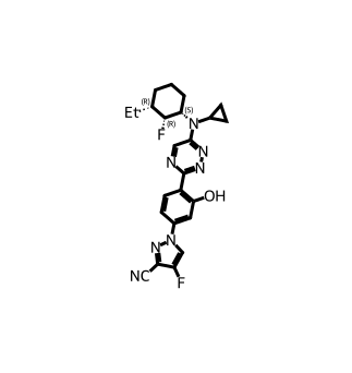 CC[C@@H]1CCC[C@H](N(c2cnc(-c3ccc(-n4cc(F)c(C#N)n4)cc3O)nn2)C2CC2)[C@@H]1F